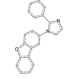 c1ccc(-c2nccn2-c2ccc3oc4ccccc4c3c2)cc1